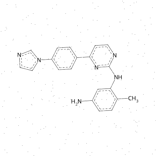 Cc1ccc(N)cc1Nc1nccc(-c2ccc(-n3ccnc3)cc2)n1